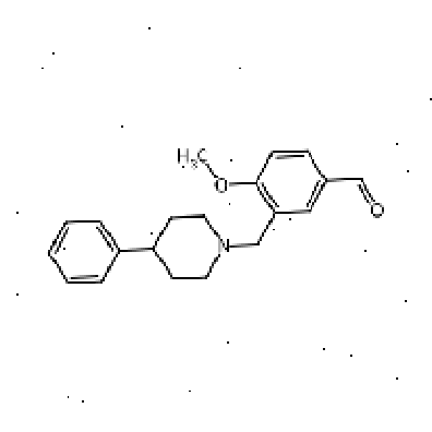 COc1ccc(C=O)cc1CN1CCC(c2ccccc2)CC1